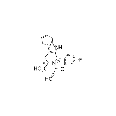 C#CC(=O)N1[C@@H](c2ccc(F)cc2)c2[nH]c3ccccc3c2C[C@@H]1C(=O)O